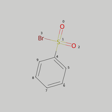 O=S(=O)(Br)c1c[c]ccc1